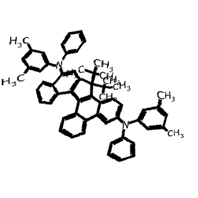 Cc1cc(C)cc(N(c2ccccc2)c2ccc3c4c(c5ccccc5c3c2)-c2c(cc(N(c3ccccc3)c3cc(C)cc(C)c3)c3ccccc23)C4(C(C)(C)C)C(C)(C)C)c1